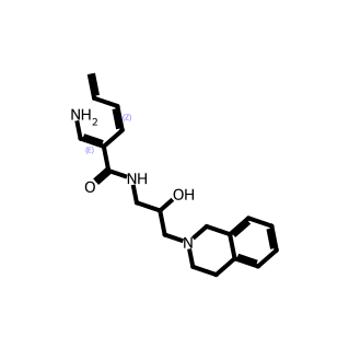 C=C/C=C\C(=C/N)C(=O)NCC(O)CN1CCc2ccccc2C1